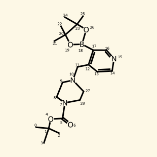 CC(C)(C)OC(=O)N1CCN(Cc2ccncc2B2OC(C)(C)C(C)(C)O2)CC1